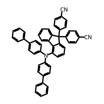 N#Cc1ccc(C2(c3ccc(C#N)cc3)c3ccccc3-c3c(N(c4ccc(-c5ccccc5)cc4)c4ccc(-c5ccccc5)cc4)cccc32)cc1